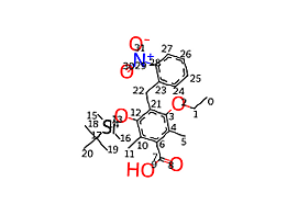 CCOc1c(C)c(C(=O)O)c(C)c(O[Si](C)(C)C(C)(C)C)c1Cc1ccccc1[N+](=O)[O-]